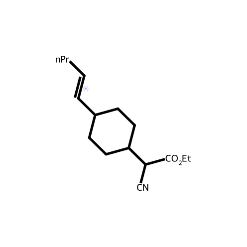 CCC/C=C/C1CCC(C(C#N)C(=O)OCC)CC1